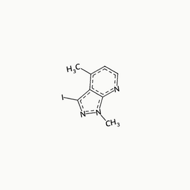 Cc1ccnc2c1c(I)nn2C